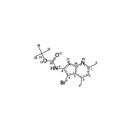 Cc1cc(C)c2c(Br)c(NC(=O)OC(C)(C)C)sc2n1